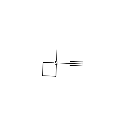 C#C[Si]1(C)CCC1